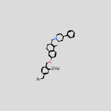 COc1cc(CC(C)C)ccc1COc1ccc2c(c1)CCC(CN1CCC(c3ccccc3)CC1)=C2C